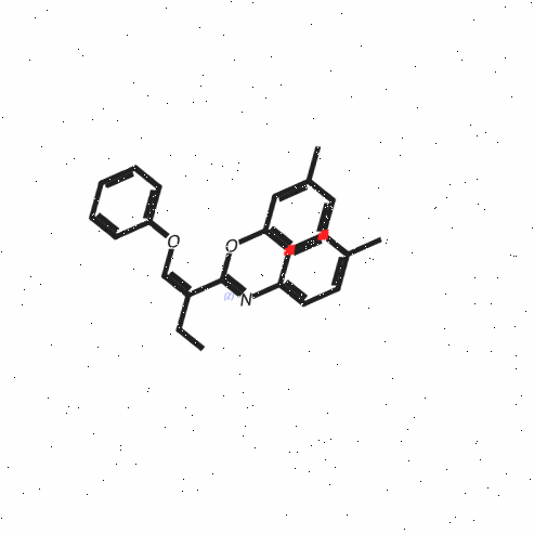 CCC(=COc1ccccc1)/C(=N/c1ccc(C)cc1)Oc1cccc(C)c1